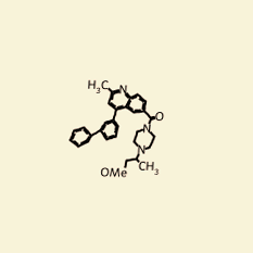 COCC(C)N1CCN(C(=O)c2ccc3nc(C)cc(-c4cccc(-c5ccccc5)c4)c3c2)CC1